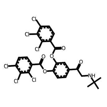 CC(C)(C)NCC(=O)c1ccc(OC(=O)c2ccc(Cl)c(Cl)c2Cl)c(OC(=O)c2ccc(Cl)c(Cl)c2Cl)c1